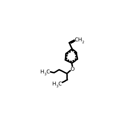 C=Cc1ccc(OC(CC)CCC)cc1